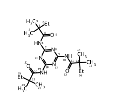 CCC(C)(C)C(=O)Nc1nc(NC(=O)C(C)(C)CC)nc(NC(=O)C(C)(C)CC)n1